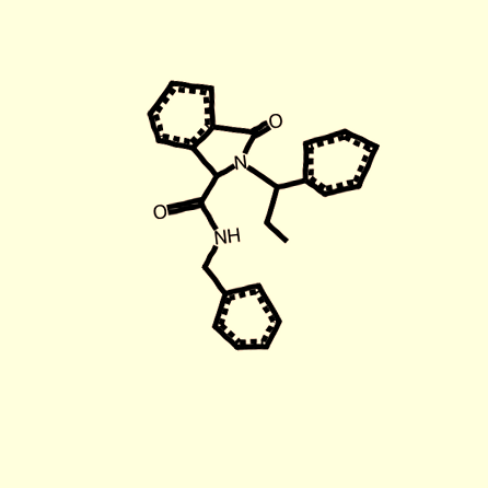 CCC(c1ccccc1)N1C(=O)c2ccccc2C1C(=O)NCc1ccccc1